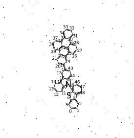 c1ccc2c(c1)sc1c(-n3c4ccccc4c4cc(-c5ccc6c(c5)c5cccc7c8ccccc8c8cccc6c8c75)ccc43)cccc12